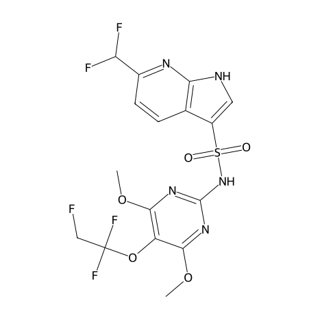 COc1nc(NS(=O)(=O)c2c[nH]c3nc(C(F)F)ccc23)nc(OC)c1OC(F)(F)CF